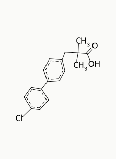 CC(C)(Cc1ccc(-c2ccc(Cl)cc2)cc1)C(=O)O